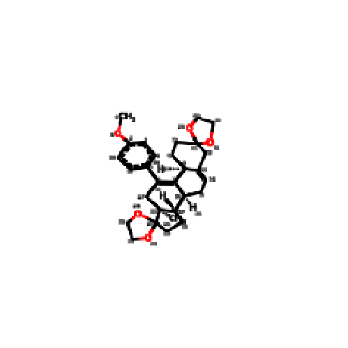 COc1ccc(C2=C3[C@H]4CCC5(CC4=CC[C@H]3[C@@H]3CCC4(OCCO4)[C@@]3(C)C2)OCCO5)cc1